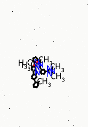 Cc1nc(C)nc(-c2ccc(-n3c4cc(-c5ccccc5C)ccc4c4ccc(-c5ccccc5C)cc43)c(-c3nc(C)nc(C)n3)c2)n1